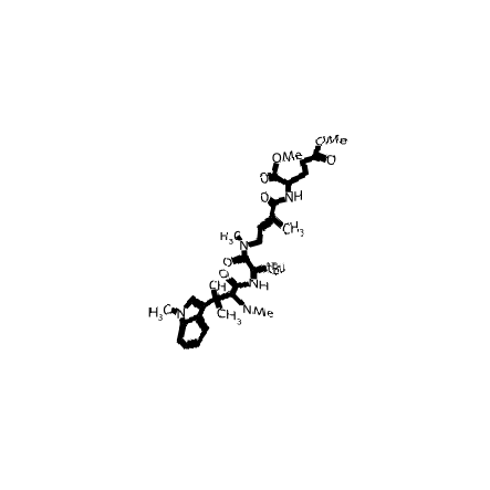 CNC(C(=O)NC(C(=O)N(C)C/C=C(\C)C(=O)NC(CCC(=O)OC)C(=O)OC)C(C)(C)C)C(C)(C)c1cn(C)c2ccccc12